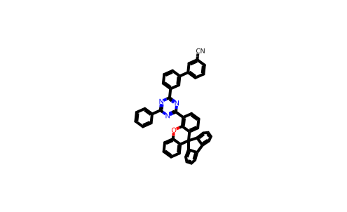 N#Cc1cccc(-c2cccc(-c3nc(-c4ccccc4)nc(-c4cccc5c4Oc4ccccc4C54c5ccccc5-c5ccccc54)n3)c2)c1